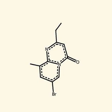 CCc1cc(=O)n2cc(Br)cc(C)c2n1